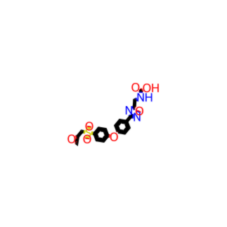 O=C(O)NCc1nc(-c2ccc(Oc3ccc(S(=O)(=O)CC4CO4)cc3)cc2)no1